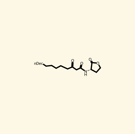 CCCCCCCCCCCCCCCC(=O)CC(=O)N[C@H]1CCOC1=O